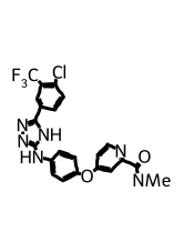 CNC(=O)c1cc(Oc2ccc(Nc3nnc(-c4ccc(Cl)c(C(F)(F)F)c4)[nH]3)cc2)ccn1